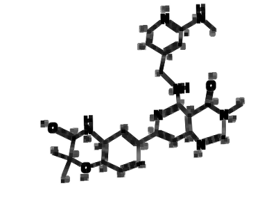 CNc1cc(CNc2nc(-c3ccc4c(c3)NC(=O)C(C)(C)O4)cc3ncn(C)c(=O)c23)ccn1